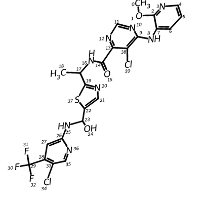 COc1ncccc1Nc1ncnc(C(=O)NC(C)c2ncc(C(O)Nc3cc(C(F)(F)F)c(Cl)cn3)s2)c1Cl